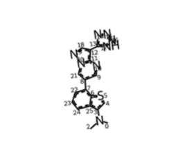 CN(C)c1csc2c(-c3cnc4c(-c5nnn[nH]5)cnn4c3)cccc12